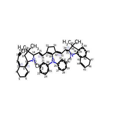 C#C/C=C1/CCC=C/C1=C1/CC(C)(C)C(/C=C/C2=C(N(c3ccccc3)c3ccccc3)C(=C/C=C3\N(C)c4c(ccc5c4C=CCC5)C3(C)C)/CC2)N1C